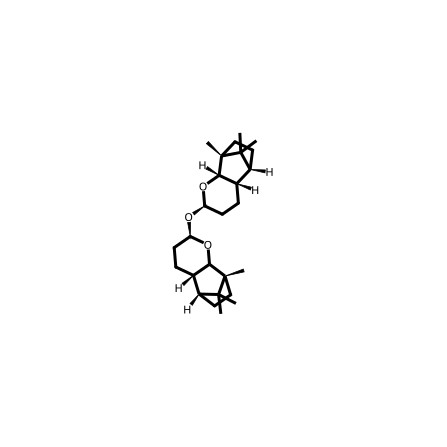 CC1(C)[C@@H]2CC[C@@]1(C)C1O[C@H](O[C@@H]3CC[C@H]4[C@H]5CC[C@@](C)([C@H]4O3)C5(C)C)CC[C@H]12